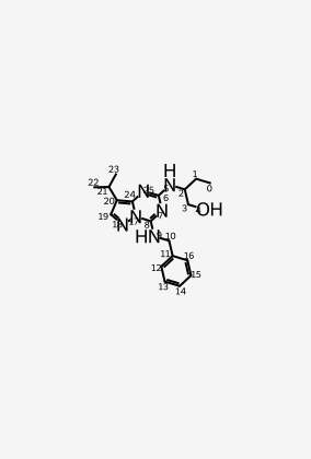 CCC(CO)Nc1nc(NCc2ccccc2)n2ncc(C(C)C)c2n1